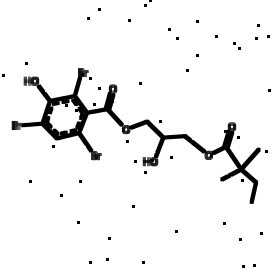 CCC(C)(C)C(=O)OCC(O)COC(=O)c1c(Br)cc(Br)c(O)c1Br